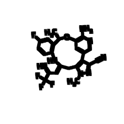 C[C@H]1Oc2cc(cnc2N)-c2c(C#N)nn(C)c2C/C(=C/C(=N)C(F)(F)F)Nc2ccc(F)cc21